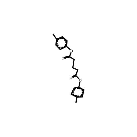 Cc1ccc(OC(=O)CCCC(=O)Oc2ccc(C)cc2)cc1